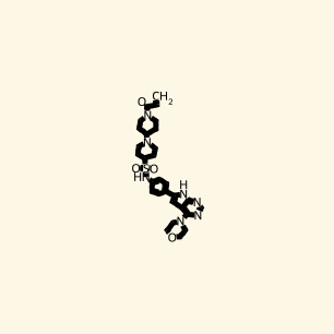 C=CC(=O)N1CCC(N2CCC(S(=O)(=O)Nc3ccc(-c4cc5c(N6CCOCC6)ncnc5[nH]4)cc3)CC2)CC1